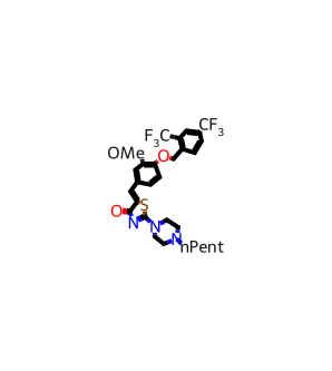 CCCCCN1CCN(C2=NC(=O)C(=Cc3ccc(OCc4ccc(C(F)(F)F)cc4C(F)(F)F)c(OC)c3)S2)CC1